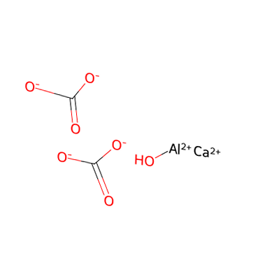 O=C([O-])[O-].O=C([O-])[O-].[Ca+2].[OH][Al+2]